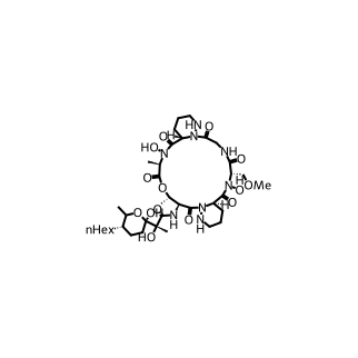 CCCCCC[C@H]1CC[C@@](O)([C@@](C)(O)C(=O)N[C@@H]2C(=O)N3NCCC[C@@H]3C(=O)N(O)[C@@H](COC)C(=O)NCC(=O)N3NCCC[C@H]3C(=O)N(O)[C@H](C)C(=O)O[C@H]2C)OC1C